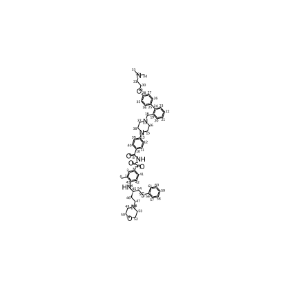 Cc1cc(S(=O)(=O)NC(=O)c2ccc(N3CCN(Cc4ccccc4-c4ccc(OCCN(C)C)cc4)CC3)cc2)ccc1N[C@H](CCN1CCOCC1)CSc1ccccc1